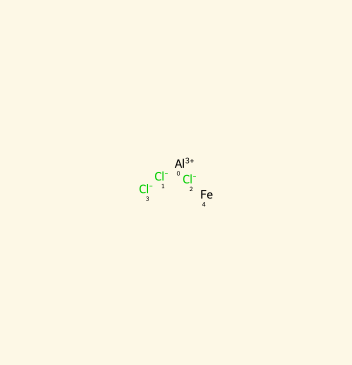 [Al+3].[Cl-].[Cl-].[Cl-].[Fe]